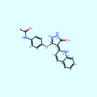 CC(=O)Nc1ccc(SC2=NNC(=O)C2=C2C=Cc3ccccc3N2)cc1